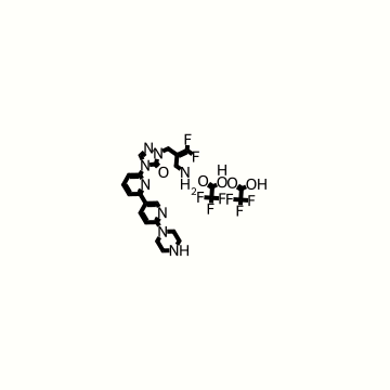 NCC(Cn1ncn(-c2cccc(-c3ccc(N4CCNCC4)nc3)n2)c1=O)=C(F)F.O=C(O)C(F)(F)F.O=C(O)C(F)(F)F